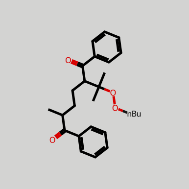 CCCCOOC(C)(C)C(CCC(C)C(=O)c1ccccc1)C(=O)c1ccccc1